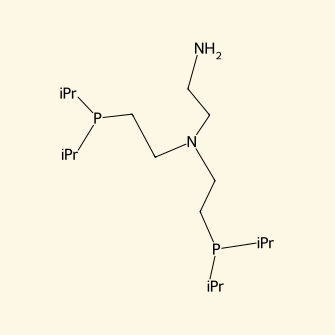 CC(C)P(CCN(CCN)CCP(C(C)C)C(C)C)C(C)C